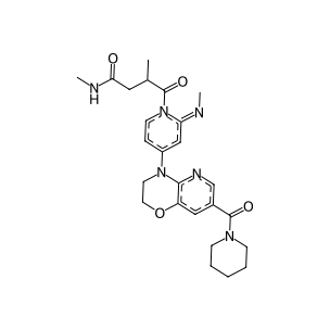 C/N=c1/cc(N2CCOc3cc(C(=O)N4CCCCC4)cnc32)ccn1C(=O)C(C)CC(=O)NC